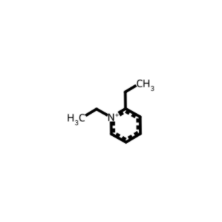 CCc1cccc[n+]1CC